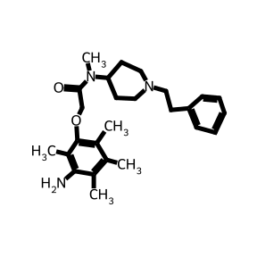 Cc1c(C)c(N)c(C)c(OCC(=O)N(C)C2CCN(CCc3ccccc3)CC2)c1C